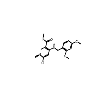 C=N/C(Cl)=C\C(NCc1ccc(OC)cc1OC)=C(/C)C(=O)OC